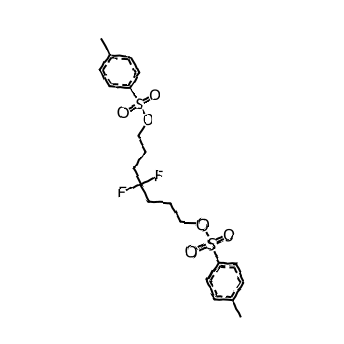 Cc1ccc(S(=O)(=O)OCCCC(F)(F)CCCOS(=O)(=O)c2ccc(C)cc2)cc1